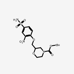 CC(C)(C)OC(=O)N1CCOC(COc2ccc(S(N)(=O)=O)cc2[N+](=O)[O-])C1